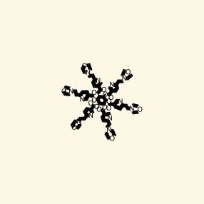 O=C(C[C@@H]1[C@@H](OC(=O)c2ccc(CCN3CCOCC3)nc2)[C@@H](OC(=O)c2ccc(CCN3CCOCC3)nc2)[C@@H](OC(=O)c2ccc(CCN3CCOCC3)nc2)[C@H](OC(=O)c2ccc(CCN3CCOCC3)nc2)[C@H]1OC(=O)c1ccc(CCN2CCOCC2)nc1)c1ccc(CCN2CCOCC2)nc1